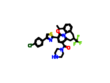 CCc1cccc2c1-n1c(c(C(=O)N3CCNCC3)cc(-c3nc(-c4ccc(Cl)cc4)cs3)c1=O)CC(C(F)(F)F)C2